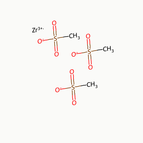 CS(=O)(=O)[O-].CS(=O)(=O)[O-].CS(=O)(=O)[O-].[Zr+3]